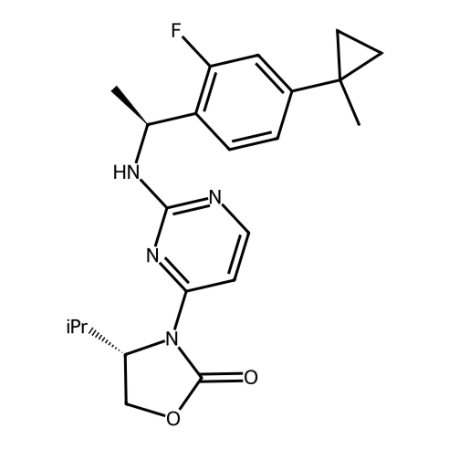 CC(C)[C@H]1COC(=O)N1c1ccnc(N[C@@H](C)c2ccc(C3(C)CC3)cc2F)n1